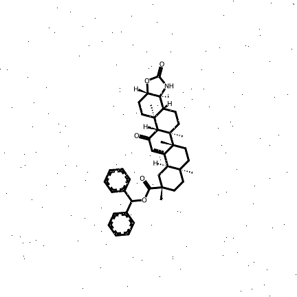 C[C@]1(C(=O)OC(c2ccccc2)c2ccccc2)CC[C@]2(C)CC[C@]3(C)C(=CC(=O)[C@@H]4[C@@]5(C)CC[C@@H]6OC(=O)N[C@@]6(C)[C@@H]5CC[C@]43C)[C@@H]2C1